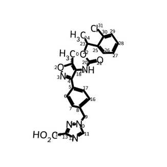 Cc1onc(-c2ccc(Cn3cnc(C(=O)O)n3)cc2)c1NC(=O)OC(C)c1ccccc1Cl